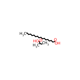 CCC(C)C(=O)O.CCCCCCCCCCCCCCCCCC(=O)O